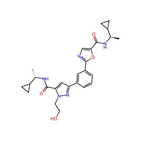 C[C@H](NC(=O)c1cc(-c2cccc(-c3ncc(C(=O)N[C@H](C)C4CC4)o3)c2)nn1CCO)C1CC1